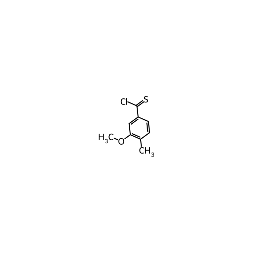 COc1cc(C(=S)Cl)ccc1C